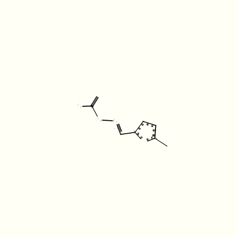 Cc1ccc(/C=N/NC(N)=O)o1